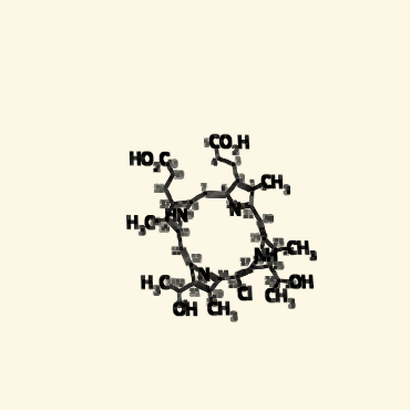 CC1=C(CCC(=O)O)c2cc3[nH]c(cc4nc(c(Cl)c5[nH]c(cc1n2)c(C)c5C(C)O)C(C)=C4C(C)O)c(C)c3CCC(=O)O